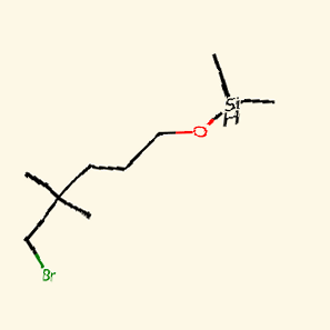 C[SiH](C)OCCCC(C)(C)CBr